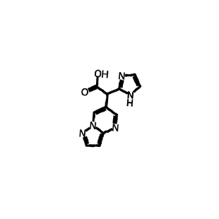 O=C(O)C(c1cnc2ccnn2c1)c1ncc[nH]1